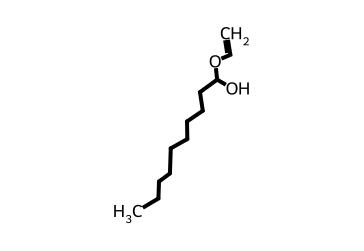 C=COC(O)CCCCCCCCC